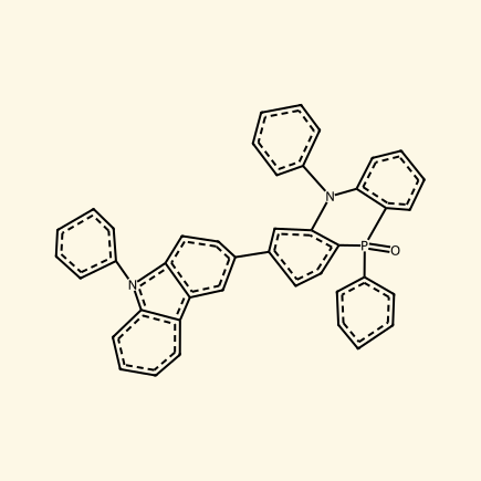 O=P1(c2ccccc2)c2ccccc2N(c2ccccc2)c2cc(-c3ccc4c(c3)c3ccccc3n4-c3ccccc3)ccc21